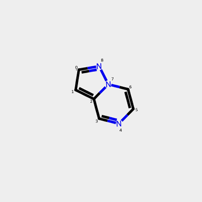 [c]1cc2cnccn2n1